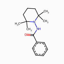 CC1(C)CCCC(C)(C)N1NC(=O)c1ccccc1